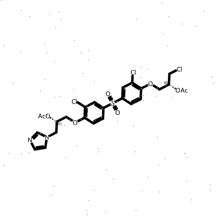 CC(=O)O[C@H](COc1ccc(S(=O)(=O)c2ccc(OC[C@H](CCl)OC(C)=O)c(Cl)c2)cc1Cl)Cn1ccnc1